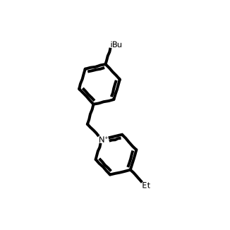 CCc1cc[n+](Cc2ccc(C(C)CC)cc2)cc1